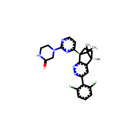 CC1(C)[C@H]2CC[C@@]1(c1ccnc(N3CCNC(=O)C3)n1)c1nnc(-c3c(F)cccc3F)cc12